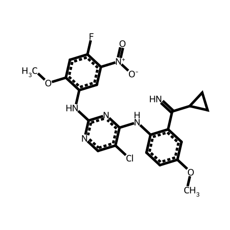 COc1ccc(Nc2nc(Nc3cc([N+](=O)[O-])c(F)cc3OC)ncc2Cl)c(C(=N)C2CC2)c1